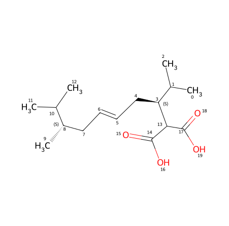 CC(C)[C@H](CC=CC[C@H](C)C(C)C)C(C(=O)O)C(=O)O